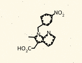 Cc1c(CC(=O)O)c2cccnc2n1Cc1ccc([N+](=O)[O-])cc1